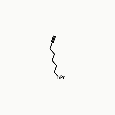 [C]#CCCCCCCCC